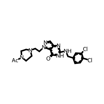 CC(=O)N1CCN(CCn2ncc3nc(NCc4ccc(Cl)c(Cl)c4)[nH]c(=O)c32)CC1